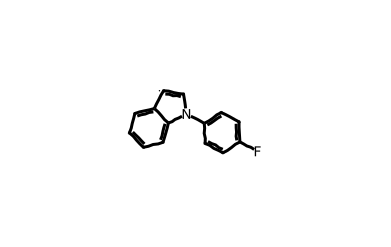 Fc1ccc(-n2c[c]c3ccccc32)cc1